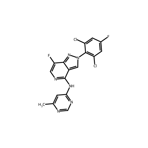 Cc1cc(Nc2ncc(F)c3nn(-c4c(Cl)cc(F)cc4Cl)cc23)ncn1